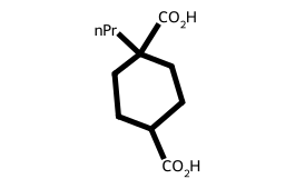 CCCC1(C(=O)O)CCC(C(=O)O)CC1